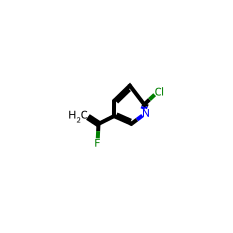 C=C(F)c1ccc(Cl)nc1